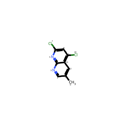 Cc1cnc2nc(Cl)cc(Cl)c2c1